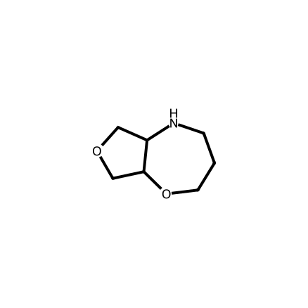 C1CNC2COCC2OC1